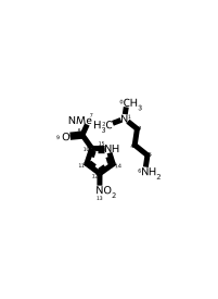 CN(C)CCCN.CNC(=O)c1cc([N+](=O)[O-])c[nH]1